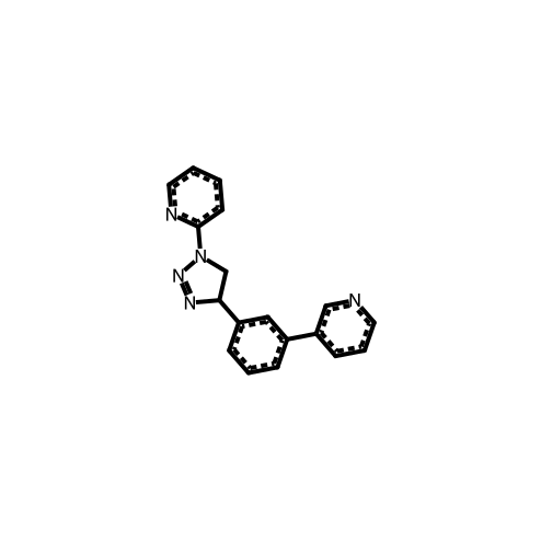 c1ccc(N2CC(c3cccc(-c4cccnc4)c3)N=N2)nc1